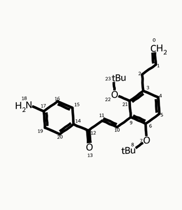 C=CCc1ccc(OC(C)(C)C)c(C=CC(=O)c2ccc(N)cc2)c1OC(C)(C)C